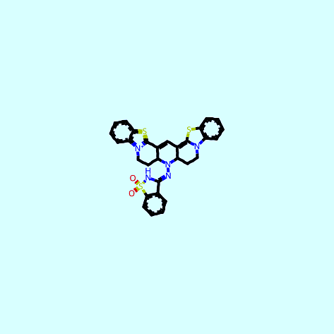 O=S1(=O)NC(=NN2C3CC[n+]4c(sc5ccccc54)C3=CC3=C4Sc5ccccc5N4CCC32)c2ccccc21